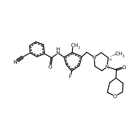 Cc1c(CN2CCN(C(=O)C3CCOCC3)[C@@H](C)C2)cc(F)cc1NC(=O)c1cccc(C#N)c1